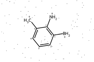 Bc1cccc(C)c1N